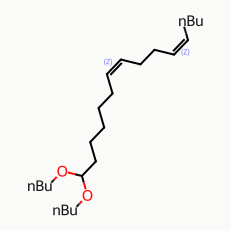 CCCC/C=C\CC/C=C\CCCCCC(OCCCC)OCCCC